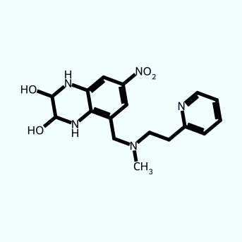 CN(CCc1ccccn1)Cc1cc([N+](=O)[O-])cc2c1NC(O)C(O)N2